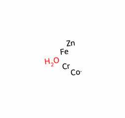 O.[Co].[Cr].[Fe].[Zn]